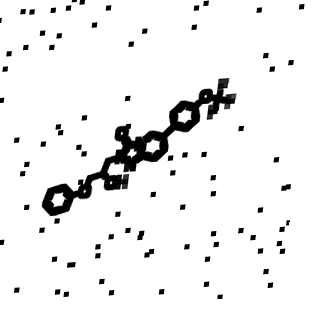 O=c1n(CC(O)COc2ccccc2)nc2ccc(-c3ccc(OC(F)(F)F)cc3)cn12